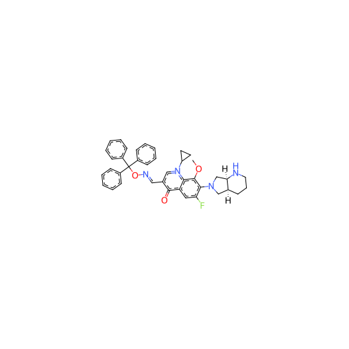 COc1c(N2C[C@@H]3CCCN[C@@H]3C2)c(F)cc2c(=O)c(/C=N/OC(c3ccccc3)(c3ccccc3)c3ccccc3)cn(C3CC3)c12